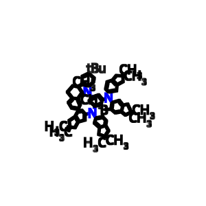 CC1(C)Cc2ccc(N3c4cc5c(cc4B4c6cc7c(cc6N(c6ccc8c(c6)CC(C)(C)C8)c6cc(N8c9ccc(C(C)(C)C)cc9C9(C)CCc%10ccccc%10C89C)cc3c64)CC(C)(C)C7)CC(C)(C)C5)cc2C1